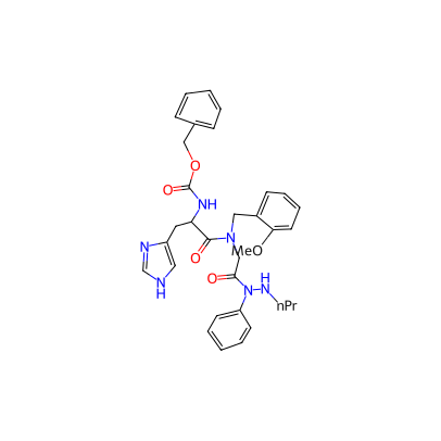 CCCNN(C(=O)CN(Cc1ccccc1OC)C(=O)C(Cc1c[nH]cn1)NC(=O)OCc1ccccc1)c1ccccc1